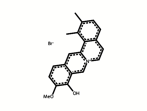 COc1ccc2cc3c4c(C)c(C)ccc4cc[n+]3cc2c1O.[Br-]